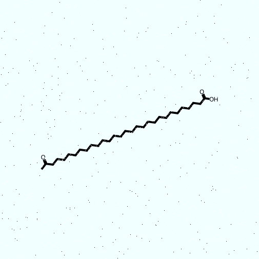 CC(=O)CCCCCCCCCCCCCCCCCCCCCCCCCCCC(=O)O